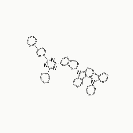 c1ccc(-c2ccc(-c3nc(-c4ccccc4)nc(-c4ccc5ccc(-n6c7ccccc7c7c6ccc6c8ccccc8n(-c8ccccc8)c67)cc5c4)n3)cc2)cc1